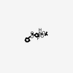 CC(C)(C)OC(=O)N[C@H]1C[C@@H](C(=O)OCc2ccccc2)CC1(F)F